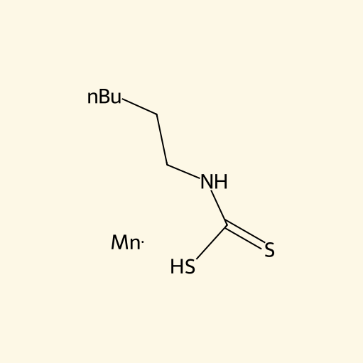 CCCCCCNC(=S)S.[Mn]